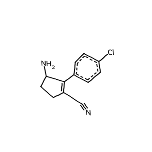 N#CC1=C(c2ccc(Cl)cc2)C(N)CC1